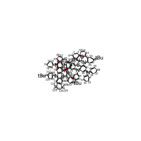 Cc1ccc2oc3c(c2c1)B1c2cc4c(cc2N(c2ccc(C(C)(C)C)cc2)c2cc(N(c5ccccc5)c5ccccc5)cc(c21)N3c1ccc(C(C)(C)C)cc1-c1ccccc1)C(C)(C)CCC4(C)Cc1cccc(N(c2ccccc2)c2cc3c4c(c2)N(c2ccc(C(C)(C)C)cc2-c2ccccc2)c2oc5ccccc5c2B4c2cc4c(cc2N3c2ccc(C(C)(C)C)cc2)C(C)(C)CCC4(C)C)c1